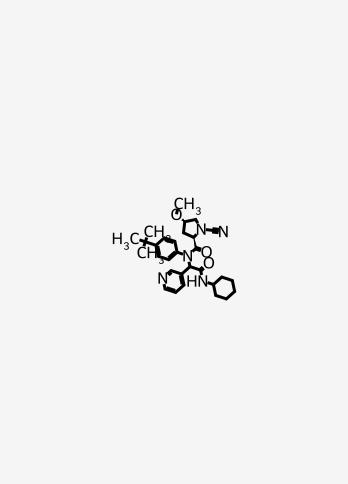 CO[C@@H]1C[C@H](C(=O)N(c2ccc(C(C)(C)C)cc2)C(C(=O)NC2CCCCC2)c2cccnc2)N(C#N)C1